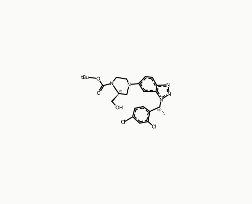 C[C@H](c1ccc(Cl)cc1Cl)n1nnc2ccc(N3CCN(C(=O)OC(C)(C)C)[C@H](CO)C3)cc21